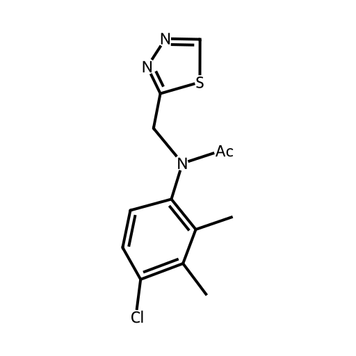 CC(=O)N(Cc1nncs1)c1ccc(Cl)c(C)c1C